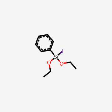 CCO[Si](I)(OCC)c1ccccc1